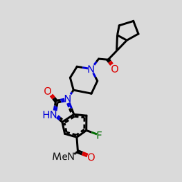 CNC(=O)c1cc2[nH]c(=O)n(C3CCN(CC(=O)C4C5CCCC54)CC3)c2cc1F